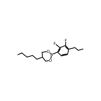 CCCCCC1COB(c2ccc(CCC)c(F)c2F)OC1